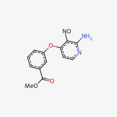 COC(=O)c1cccc(Oc2ccnc(N)c2N=O)c1